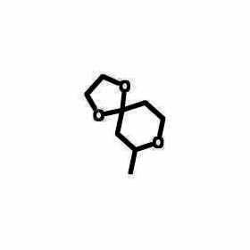 CC1CC2(CCO1)OCCO2